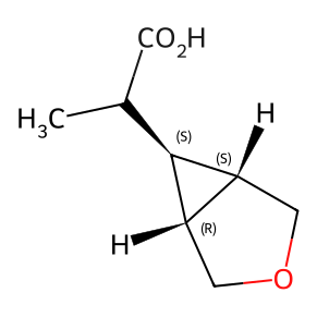 CC(C(=O)O)[C@H]1[C@@H]2COC[C@@H]21